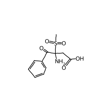 CS(=O)(=O)C(N)(CC(=O)O)C(=O)c1ccccc1